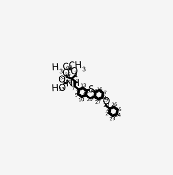 CC1(C)OCC(CCc2ccc3c(c2)Sc2ccc(OCc4ccccc4)cc2C3)(NC(=O)O)CO1